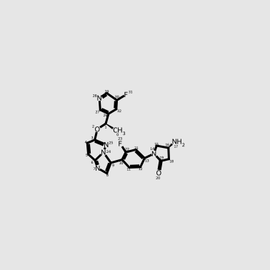 C[C@@H](Oc1ccc2ncc(-c3ccc(N4C[C@@H](N)CC4=O)cc3F)n2n1)c1cncc(F)c1